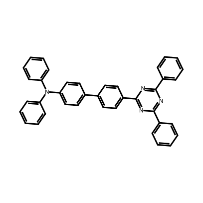 c1ccc(-c2nc(-c3ccccc3)nc(-c3ccc(-c4ccc(N(c5ccccc5)c5ccccc5)cc4)cc3)n2)cc1